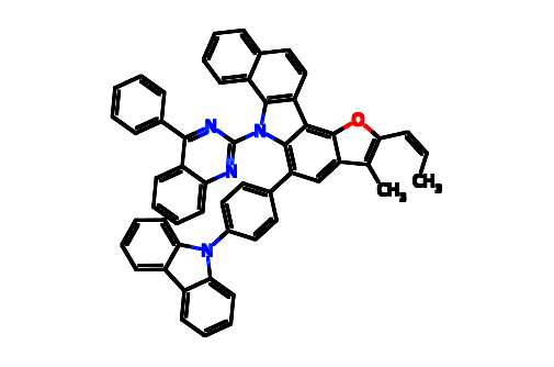 C/C=C\c1oc2c(cc(-c3ccc(-n4c5ccccc5c5ccccc54)cc3)c3c2c2ccc4ccccc4c2n3-c2nc(-c3ccccc3)c3ccccc3n2)c1C